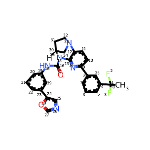 CC(F)(F)c1cccc(-c2ccc3c(n2)N(C(=O)Nc2cccc(-c4cnco4)c2)[C@@H]2CCN3C2)c1